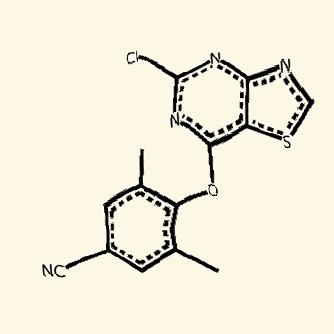 Cc1cc(C#N)cc(C)c1Oc1nc(Cl)nc2ncsc12